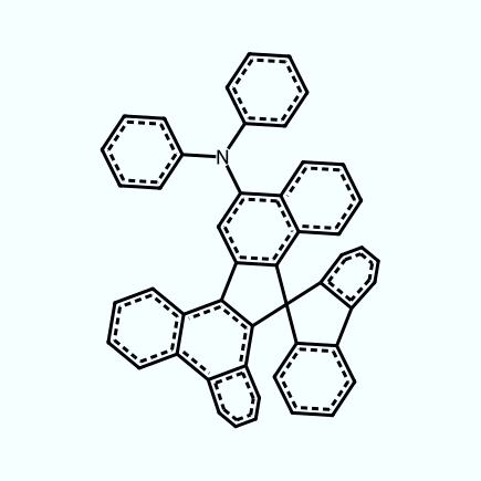 c1ccc(N(c2ccccc2)c2cc3c(c4ccccc24)C2(c4ccccc4-c4ccccc42)c2c-3c3ccccc3c3ccccc23)cc1